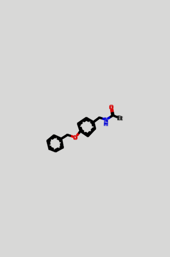 CCC(=O)NCc1ccc(OCc2ccccc2)cc1